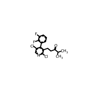 CC(C)C(=O)CCc1c(Cl)ncc(Cl)c1-c1cccc(F)c1F